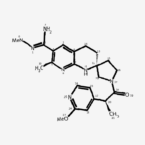 CN/N=C(\N)c1cc2c(nc1C)N[C@@]1(CC2)CCN(C(=O)[C@@H](C)c2ccnc(OC)c2)C1